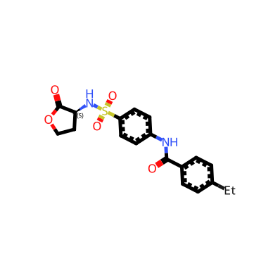 CCc1ccc(C(=O)Nc2ccc(S(=O)(=O)N[C@H]3CCOC3=O)cc2)cc1